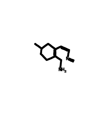 C=N/C=C\C1=C(CN)CCC(C)C1